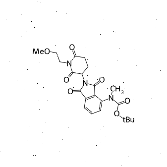 COCCN1C(=O)CCC(N2C(=O)c3cccc(N(C)C(=O)OC(C)(C)C)c3C2=O)C1=O